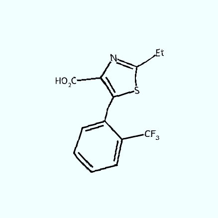 CCc1nc(C(=O)O)c(-c2ccccc2C(F)(F)F)s1